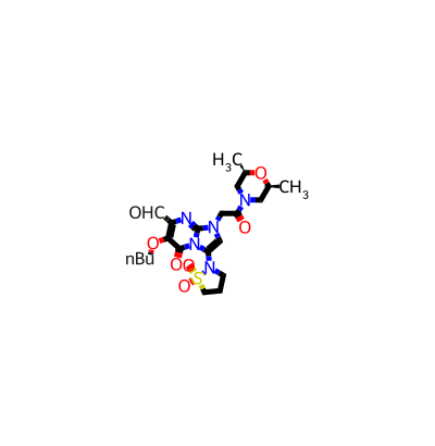 CCCCOc1c(C=O)nc2n(CC(=O)N3C[C@H](C)O[C@@H](C)C3)cc(N3CCCS3(=O)=O)n2c1=O